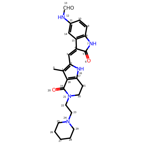 Cc1c(C=C2C(=O)Nc3ccc(NC=O)cc32)[nH]c2c1C(=O)N(CCN1CCCCC1)CC2